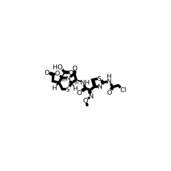 CO/N=C(\C(=O)N[C@@H]1C(=O)N2[C@@H]1SC[C@@H]1CC(=O)O[C@@]12C(=O)O)c1csc(NC(=O)CCl)n1